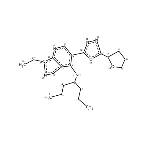 CCCC(CCC)Nc1c(-c2nnc(C3CCCO3)o2)cnc2c1cnn2CC